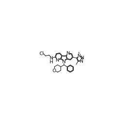 Cc1nnn(C)c1-c1cnc2c3ccc(NCCCl)nc3n(C(c3ccccc3)C3CCOCC3)c2c1